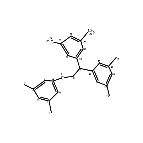 Cc1cc(C)cc(CCC(c2cc(C)cc(C)c2)c2cc(C(F)(F)F)cc(C(F)(F)F)c2)c1